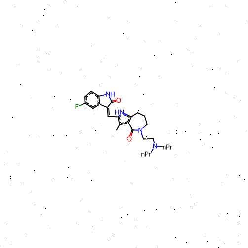 CCCN(CCC)CCN1CCCc2[nH]c(/C=C3\C(=O)Nc4ccc(F)cc43)c(C)c2C1=O